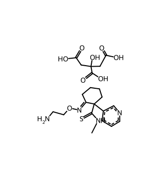 CNC(=S)C1(c2cccnc2)CCCCC1=NOCCN.O=C(O)CC(O)(CC(=O)O)C(=O)O